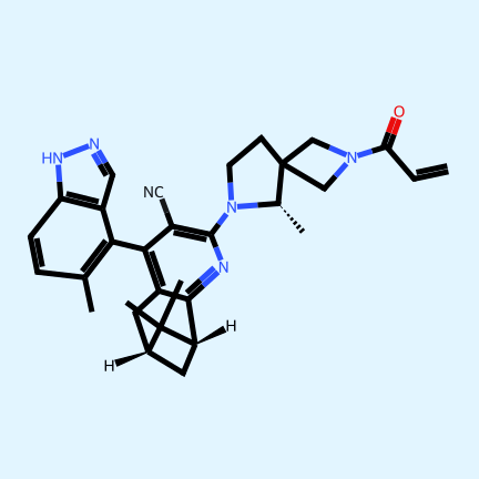 C=CC(=O)N1CC2(CCN(c3nc4c(c(-c5c(C)ccc6[nH]ncc56)c3C#N)C[C@H]3C[C@@H]4C3(C)C)[C@H]2C)C1